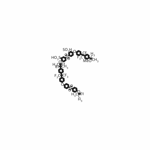 CCC(C)(C)Oc1ccc(S(=O)(=O)c2ccc(Oc3ccc(C(c4ccc(C(C)(CC)C(C)(CC)Oc5ccc(S(=O)(=O)c6ccc(Oc7ccc(C(c8ccc(C(C)(C)OC)cc8)(C(F)(F)F)C(F)(F)F)cc7)c(S(=O)(=O)O)c6)cc5S(=O)(=O)O)cc4)(C(F)(F)F)C(F)(F)F)cc3)cc2)cc1